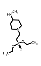 CCOP(=O)(CCN1CCC(NC)CC1)OCC